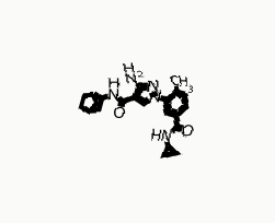 Cc1ccc(C(=O)NC2CC2)cc1-n1cc(C(=O)NC2CC3CCC2C3)c(N)n1